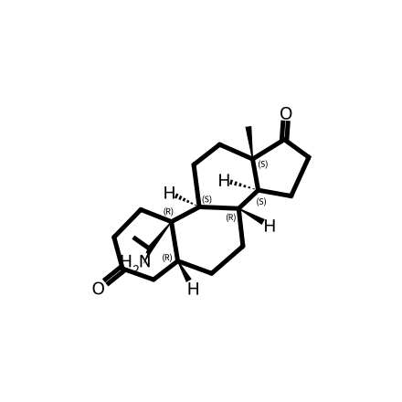 CC(N)[C@]12CCC(=O)C[C@H]1CC[C@@H]1[C@@H]2CC[C@]2(C)C(=O)CC[C@@H]12